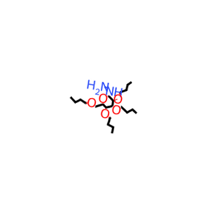 CCCCOCC1OC(NN)[C@H](OCCCC)C(OCCCC)[C@@H]1OCCCC